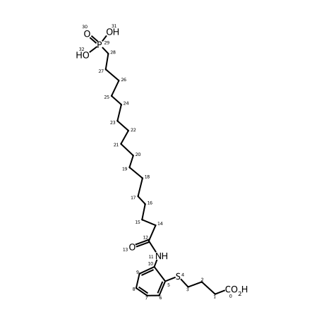 O=C(O)CCCSc1ccccc1NC(=O)CCCCCCCCCCCCCCCP(=O)(O)O